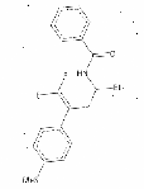 CCC(CC(=C(F)F)c1ccc(SC)cc1)NC(=O)c1ccccc1